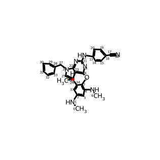 CNc1cc(NC)c(Oc2nc(Nc3ccc(C#N)cc3)nc3c2ccn3Cc2ccccc2)c(NC)c1